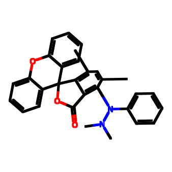 Cc1cc(C)c2c(c1N(c1ccccc1)N(C)C)C(=O)OC21c2ccccc2Oc2ccccc21